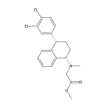 COC(=O)CN(C)[C@H]1CC[C@@H](c2ccc(Cl)c(Cl)c2)c2ccccc21